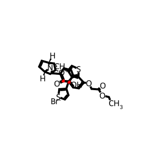 CCOC(=O)COc1ccc2cc(C[N+]3(C)[C@@H]4C=C[C@H]3C[C@@H](OC(=O)C(O)(c3ccsc3)c3ccsc3)C4)ccc2c1.[Br-]